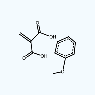 C=C(C(=O)O)C(=O)O.COc1ccccc1